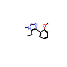 CCc1c(-c2ccccc2OC)ncn1C